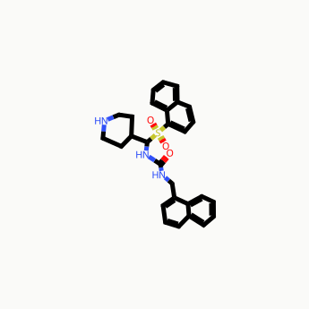 O=C(NCc1cccc2ccccc12)NC(C1CCNCC1)S(=O)(=O)c1cccc2ccccc12